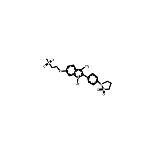 CCn1c(-c2ccc(N3CCCS3(=O)=O)cc2)c(C#N)c2ccc(OCCS(C)(=O)=O)cc21